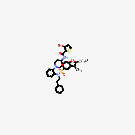 CCOC(=O)c1oc2ccc(S(=O)(=O)N(CCc3ccccc3)c3ccccc3N3CCC(NC(=O)c4sccc4Br)CC3)cc2c1C